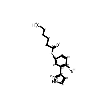 CCCCCC(=O)Nc1ccc(O)c(-c2cc[nH]n2)c1